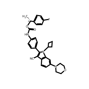 C[C@@H](OC(=O)Nc1ccc(-c2c(C#N)c3ccc(N4CCOCC4)cc3n2C2CCC2)cc1)c1ccc(F)cc1